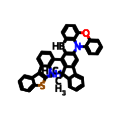 CC1(C)c2ccccc2-c2cc3c(c(-c4cccc5c4[nH]c4sc6ccccc6c45)c21)Bc1cccc2c1N3c1ccccc1O2